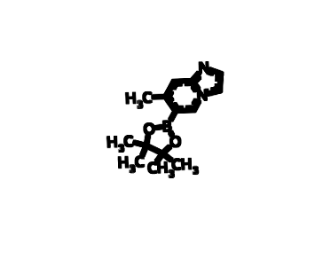 Cc1cc2nccn2cc1B1OC(C)(C)C(C)(C)O1